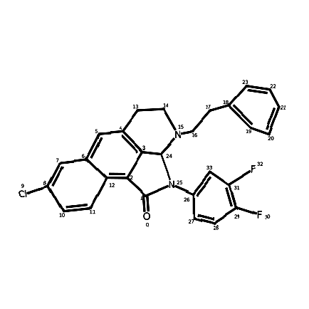 O=C1c2c3c(cc4cc(Cl)ccc24)CCN(CCc2ccccc2)C3N1c1ccc(F)c(F)c1